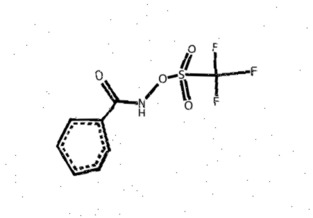 O=C(NOS(=O)(=O)C(F)(F)F)c1ccccc1